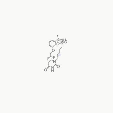 C[C@@H](NS(=O)(=O)CC/C=C/CN1CCC(=O)NC1=O)c1cccc(OCC(F)F)c1